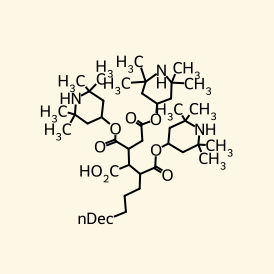 CCCCCCCCCCCCCC(C(=O)OC1CC(C)(C)NC(C)(C)C1)C(C(=O)O)C(CC(=O)OC1CC(C)(C)NC(C)(C)C1)C(=O)OC1CC(C)(C)NC(C)(C)C1